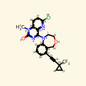 Cn1c(=O)nc(N2CCOCc3c(C#CC4(C(F)(F)F)CC4)cccc32)c2nc(Cl)ccc21